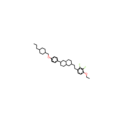 CCCC1CCC(COc2ccc(C3CCC4CC(CCc5ccc(OCC)c(F)c5F)CCC4C3)cc2)CC1